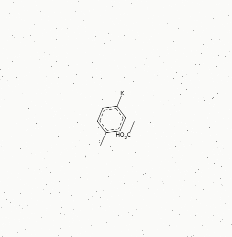 CC(=O)O.Cc1cc[c]([K])cc1